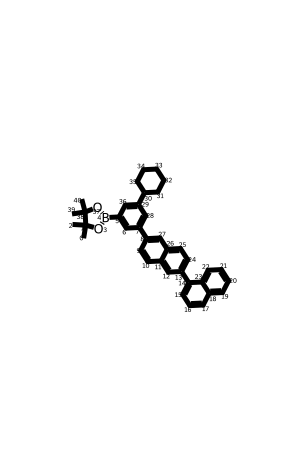 CC1(C)OB(c2cc(-c3ccc4cc(-c5cccc6ccccc56)ccc4c3)cc(C3CCCCC3)c2)OC1(C)C